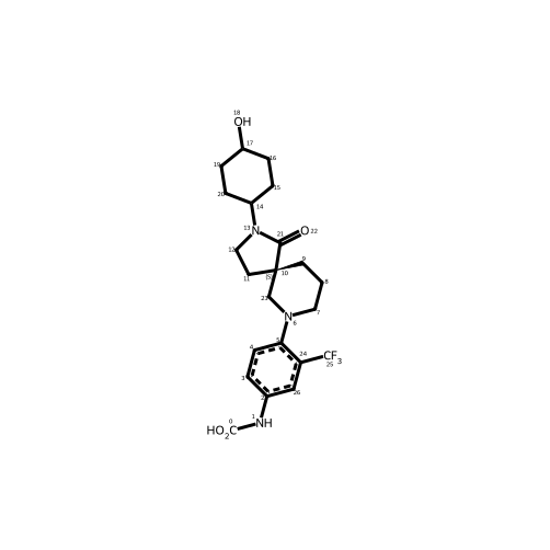 O=C(O)Nc1ccc(N2CCC[C@]3(CCN(C4CCC(O)CC4)C3=O)C2)c(C(F)(F)F)c1